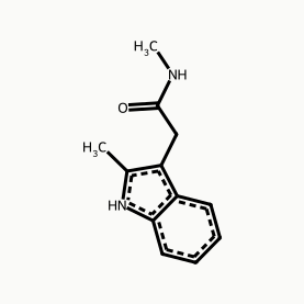 CNC(=O)Cc1c(C)[nH]c2ccccc12